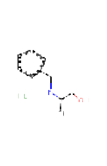 CCC(CO)NCc1ccccc1.Cl